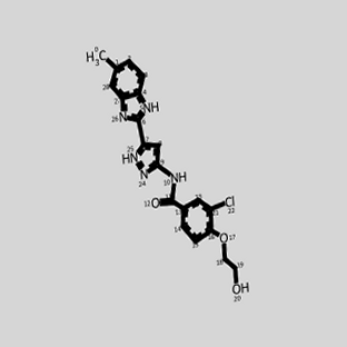 Cc1ccc2[nH]c(-c3cc(NC(=O)c4ccc(OCCO)c(Cl)c4)n[nH]3)nc2c1